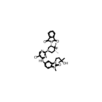 C[C@@H]1CN(c2ncc(Cl)c(Nc3ccc4c(c3)n(CCC(C)(C)O)c(=O)n4C)n2)C[C@H](N2C(=O)c3ccccc3C2=O)C1(F)F